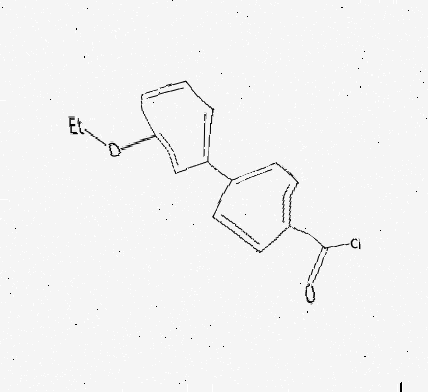 CCOc1cccc(-c2ccc(C(=O)Cl)cc2)c1